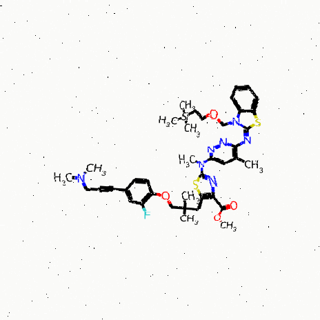 COC(=O)c1nc(N(C)c2cc(C)c(N=c3sc4ccccc4n3COCC[Si](C)(C)C)nn2)sc1CC(C)(C)COc1ccc(C#CCN(C)C)cc1F